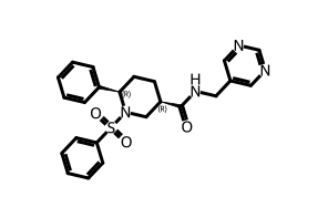 O=C(NCc1cncnc1)[C@@H]1CC[C@H](c2ccccc2)N(S(=O)(=O)c2ccccc2)C1